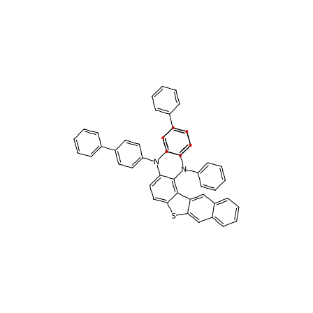 c1ccc(-c2ccc(N(c3ccccc3)c3ccc4sc5cc6ccccc6cc5c4c3N(c3ccccc3)c3ccc(-c4ccccc4)cc3)cc2)cc1